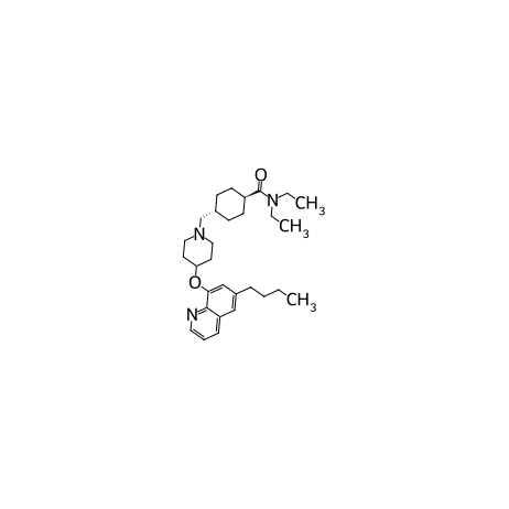 CCCCc1cc(OC2CCN(C[C@H]3CC[C@H](C(=O)N(CC)CC)CC3)CC2)c2ncccc2c1